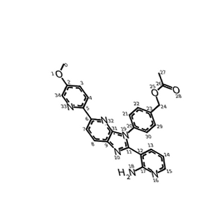 COc1ccc(-c2ccc3nc(-c4cccnc4N)n(-c4ccc(COC(C)=O)cc4)c3n2)nc1